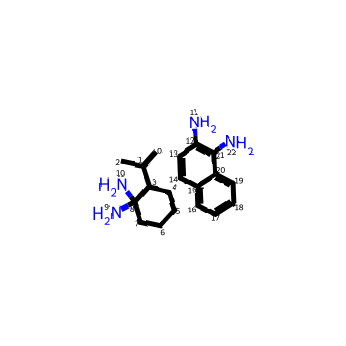 CC(C)C1CCCCC1(N)N.Nc1ccc2ccccc2c1N